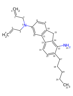 C=CCN(CC=C)c1ccc2c(c1)-c1ccc(CCCCC)c(N)c1C2